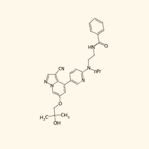 CCCN(CCNC(=O)c1ccccc1)c1ccc(-c2cc(OCC(C)(C)O)cn3ncc(C#N)c23)cn1